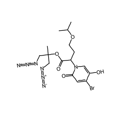 CC(C)OCCC(C(=O)OC(C)(CN=[N+]=[N-])CN=[N+]=[N-])n1cc(O)c(Br)cc1=O